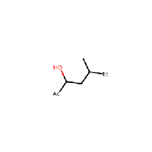 CCC(C)CC(O)C(C)=O